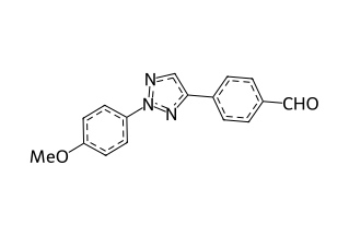 COc1ccc(-n2ncc(-c3ccc(C=O)cc3)n2)cc1